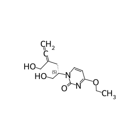 C=C=C(CO)C[C@@H](CO)n1ccc(OCC)nc1=O